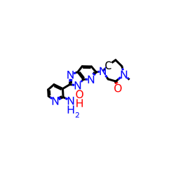 CN1CCCN(c2ccc3nc(-c4cccnc4N)n(O)c3n2)CC1=O